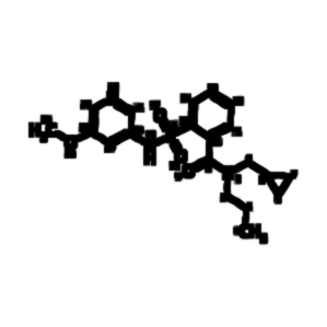 CCCN(CC1CC1)C(=O)c1ccccc1S(=O)(=O)Nc1cncc(OC)c1